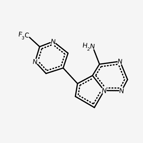 Nc1ncnn2ccc(-c3cnc(C(F)(F)F)nc3)c12